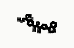 CC(C)c1ccc(NC(=O)NC2CCN(c3ncnc4ccccc34)C2)cc1